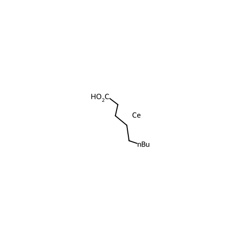 CCCCCCCCC(=O)O.[Ce]